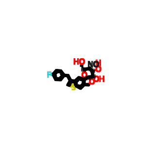 O=N[C@H]1[C@H](O)[C@@H](O)[C@@]2(OCc3cc4scc(Cc5ccc(F)cc5)c4cc32)O[C@@H]1CO